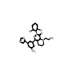 Cc1cc(-c2cnco2)cc(-c2nn(-c3c(Cl)cccc3Cl)c(=O)c3c2CCCN3CCO)c1